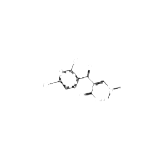 CN(C)/C=C(\C(=O)O)C(=O)c1ccc(Cl)nc1Cl